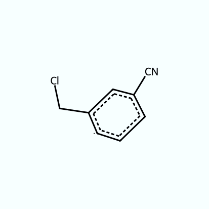 N#Cc1cc[c]c(CCl)c1